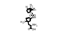 Cc1ccc(NS(=O)(=O)C[C@@]23CC[C@H](CC2=O)C3(C)C)cc1C[C@H](N)C(=O)O